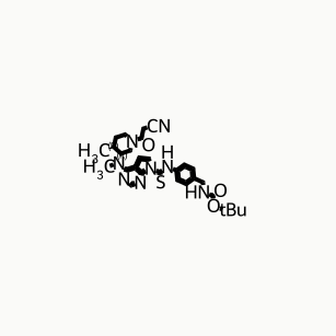 C[C@@H]1CCN(C(=O)CC#N)C[C@@H]1N(C)c1ncnc2c1ccn2C(=S)Nc1ccc(CNC(=O)OC(C)(C)C)cc1